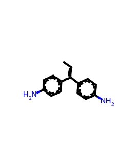 CC=C(c1ccc(N)cc1)c1ccc(N)cc1